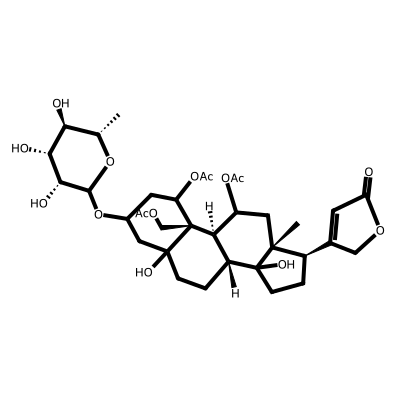 CC(=O)OC[C@]12C(OC(C)=O)CC(OC3O[C@@H](C)[C@H](O)[C@@H](O)[C@H]3O)CC1(O)CC[C@@H]1[C@@H]2C(OC(C)=O)C[C@]2(C)[C@@H](C3=CC(=O)OC3)CCC12O